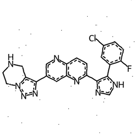 Fc1ccc(Cl)cc1-c1[nH]cnc1-c1ccc2ncc(-c3nnn4c3CNCC4)cc2n1